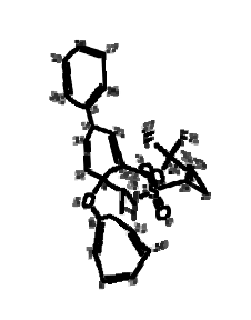 O=S(=O)(NC1(Oc2ccccc2)C=CC(c2ccccc2)C=C1OC(F)(F)F)C1CC1